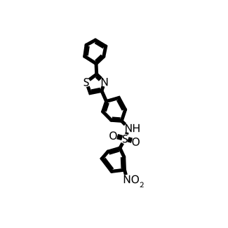 O=[N+]([O-])c1cccc(S(=O)(=O)Nc2ccc(-c3csc(-c4ccccc4)n3)cc2)c1